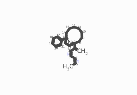 C=C(/C=C\C=C/C)C12CCCCCCCC(c3ccccc3)(CC1)N2